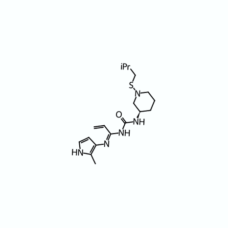 C=C/C(=N\c1cc[nH]c1C)NC(=O)N[C@@H]1CCCN(SCC(C)C)C1